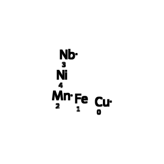 [Cu].[Fe].[Mn].[Nb].[Ni]